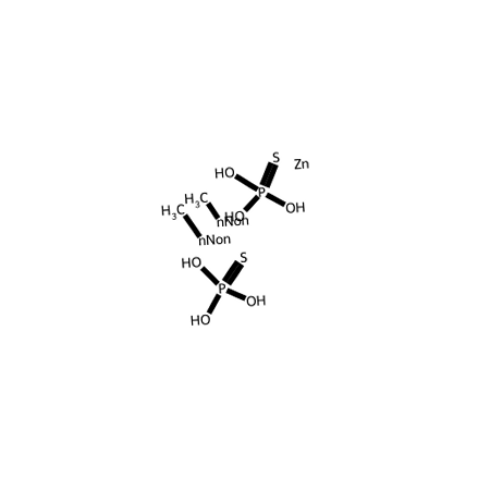 CCCCCCCCCC.CCCCCCCCCC.OP(O)(O)=S.OP(O)(O)=S.[Zn]